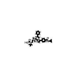 CC(C)(C)N(CCS(=O)(=O)c1nc(-c2ccccc2)cn2c(-c3ccc(C(=O)NC4CC4)cc3)cnc12)C(=O)O